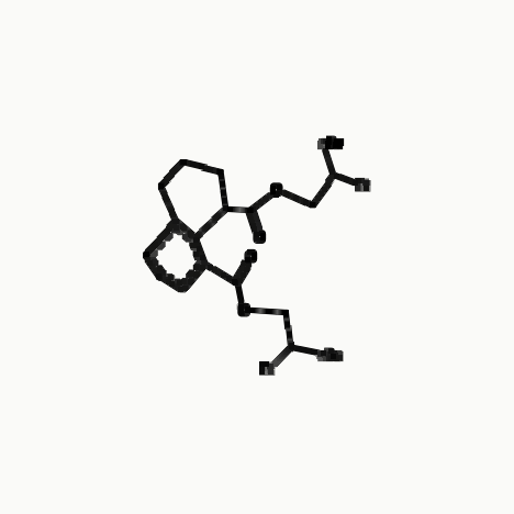 CCCCC(CC)COC(=O)c1cccc2c1C(C(=O)OCC(CC)CCCC)CCC2